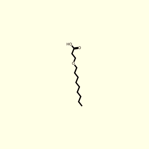 CCCCCCCCCOCCC(=O)O